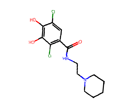 O=C(NCCN1CCCCC1)c1cc(Cl)c(O)c(O)c1Cl